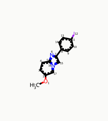 COc1ccc2nc(-c3ccc(I)cc3)cn2c1